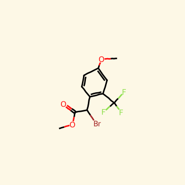 COC(=O)C(Br)c1ccc(OC)cc1C(F)(F)F